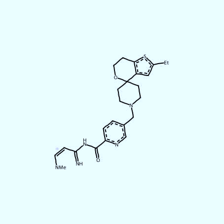 CCc1cc2c(s1)CCOC21CCN(Cc2ccc(C(=O)NC(=N)/C=C\NC)nc2)CC1